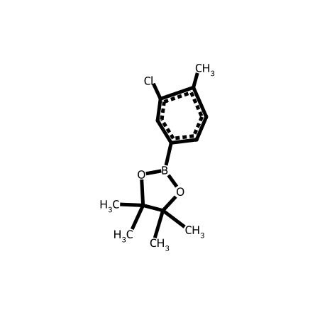 Cc1ccc(B2OC(C)(C)C(C)(C)O2)cc1Cl